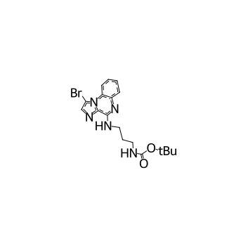 CC(C)(C)OC(=O)NCCCNc1nc2ccccc2n2c(Br)cnc12